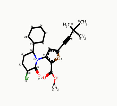 COC(=O)c1sc(C#CC(C)(C)C)cc1N1C(=O)C(Br)CCC1C1CCCCC1